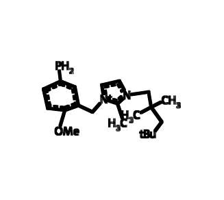 COc1ccc(P)cc1C[n+]1ccn(CC(C)(C)CC(C)(C)C)c1C